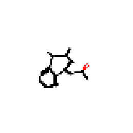 CC(=O)Cc1cc(C)c(C)c2ccccc12